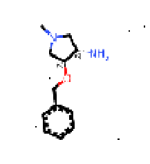 CN1C[C@H](OCc2ccccc2)[C@@H](N)C1